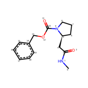 CNC(=O)C[C@@H]1CCCN1C(=O)OCc1ccccc1